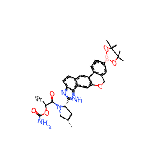 CC(C)[C@H](OC(N)=O)C(=O)N1C[C@@H](C)C[C@H]1c1nc2ccc3cc4c(cc3c2[nH]1)OCc1cc(B2OC(C)(C)C(C)(C)O2)ccc1-4